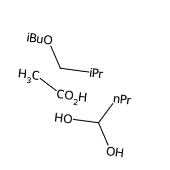 CC(=O)O.CC(C)COCC(C)C.CCCC(O)O